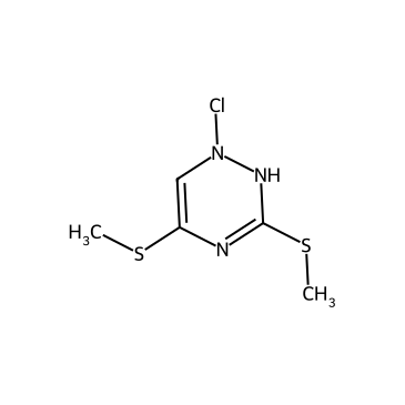 CSC1=CN(Cl)NC(SC)=N1